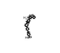 Nc1nnc(-c2ccccc2O)cc1N1CC2CC3(C4=NC=C(C5CCC([C@H]6CC7(CC[C@H](C(=O)O)CC7)C6)CC5)C=CC4)CC(C1)C23